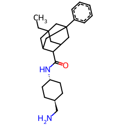 CCC12CC3CC(c4ccccc4)(CC(C1)C3C(=O)N[C@H]1CC[C@H](CN)CC1)C2